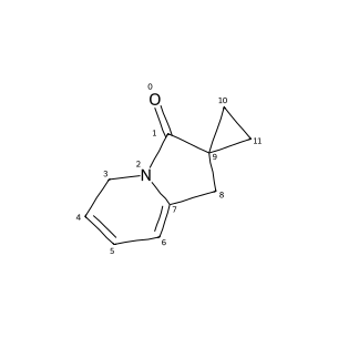 O=C1N2CC=CC=C2CC12CC2